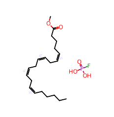 CCCCC/C=C\C/C=C\C/C=C\C/C=C\CCCC(=O)OC.O=P(O)(O)F